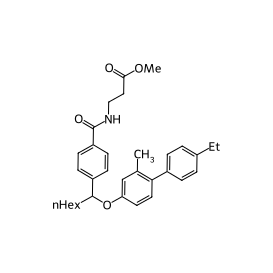 CCCCCCC(Oc1ccc(-c2ccc(CC)cc2)c(C)c1)c1ccc(C(=O)NCCC(=O)OC)cc1